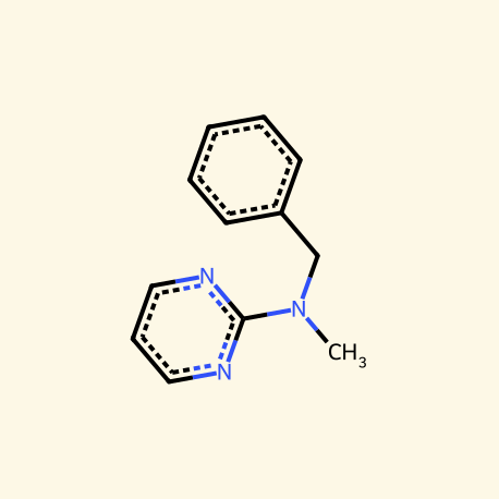 CN(Cc1ccccc1)c1ncccn1